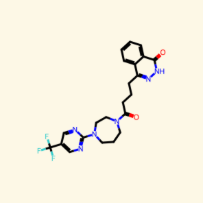 O=C(CCCc1n[nH]c(=O)c2ccccc12)N1CCCN(c2ncc(C(F)(F)F)cn2)CC1